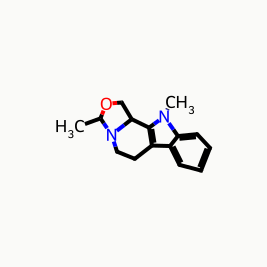 CC1OCC2c3c(c4ccccc4n3C)CCN12